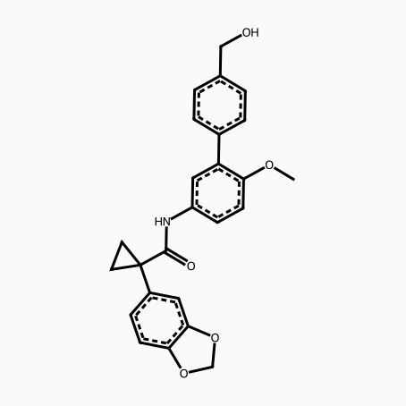 COc1ccc(NC(=O)C2(c3ccc4c(c3)OCO4)CC2)cc1-c1ccc(CO)cc1